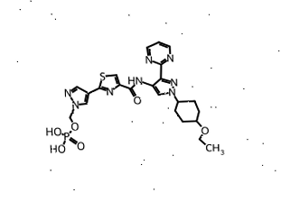 CCOC1CCC(n2cc(NC(=O)c3csc(-c4cnn(COP(=O)(O)O)c4)n3)c(-c3ncccn3)n2)CC1